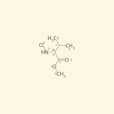 COC(=O)[C@H](NCl)C(C)C